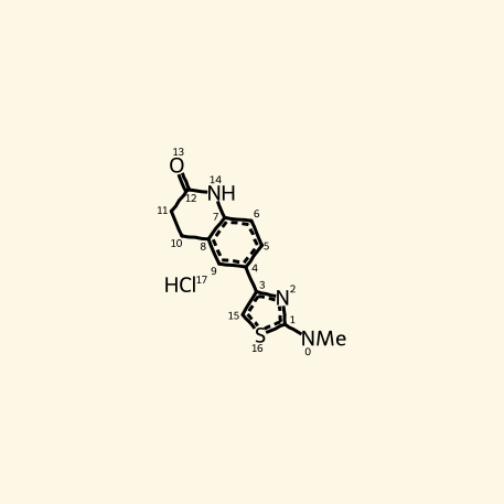 CNc1nc(-c2ccc3c(c2)CCC(=O)N3)cs1.Cl